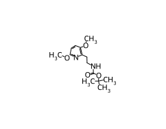 COc1ccc(OC)c(CCNC(=O)OC(C)(C)C)n1